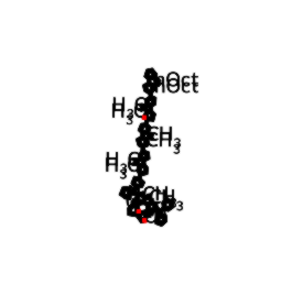 CCCCCCCCC1(CCCCCCCC)c2ccccc2-c2ccc(-c3ccc4c(c3)C(C)(C)c3cc(-c5ccc6c(c5)C(C)(C)c5cc(-c7ccc8c(c7)C(C)(C)c7cc(-c9ccc(N(c%10ccccc%10)c%10cc%11c(c%12c%10oc%10ccccc%10%12)-c%10c(cc(N(c%12ccccc%12)c%12ccccc%12)c%12oc%13ccccc%13c%10%12)C%11(C)C)cc9)ccc7-8)ccc5-6)ccc3-4)cc21